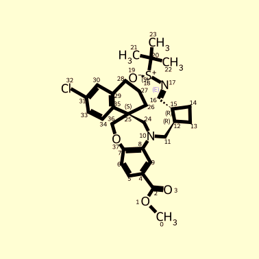 COC(=O)c1ccc2c(c1)N(C[C@@H]1CC[C@H]1/C=N/[S@+]([O-])C(C)(C)C)C[C@@]1(CCCc3cc(Cl)ccc31)CO2